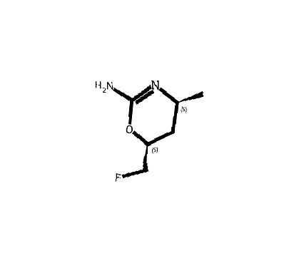 C[C@H]1C[C@@H](CF)OC(N)=N1